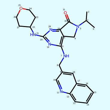 CC(C)N1Cc2c(NCc3cnc4ccccc4c3)nc(NC3CCOCC3)nc2C1=O